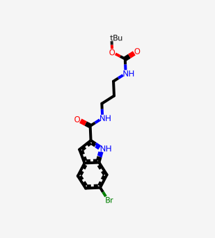 CC(C)(C)OC(=O)NCCCNC(=O)c1cc2ccc(Br)cc2[nH]1